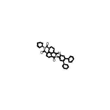 O=C1c2ccc3c(=O)n4c5cc(-c6ccccc6)c(-c6ccccc6)cc5nc4c4ccc(c2c34)C(=O)N1c1ccccc1